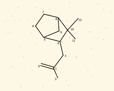 C=C(C)C[C]1C2CCC(C2)C1(C)C